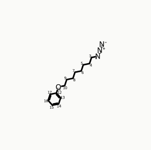 [N-]=[N+]=NCCCCCCCCOc1ccccc1